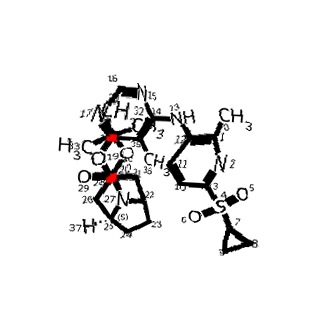 Cc1nc(S(=O)(=O)C2CC2)ccc1Nc1ncnc(OC2CC3CC[C@@H](C2)N3C(=O)OC(C)(C)C)c1C